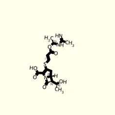 CC(=N)N[C@H](C)OC(=O)/C=C/SC1=C(C(=O)O)N2C(=O)[C@H]([C@@H](C)O)[C@H]2C1